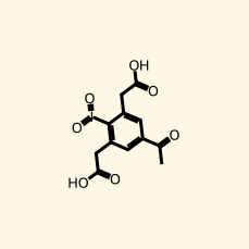 CC(=O)c1cc(CC(=O)O)c(I(=O)=O)c(CC(=O)O)c1